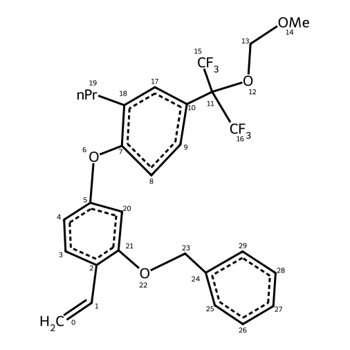 C=Cc1ccc(Oc2ccc(C(OCOC)(C(F)(F)F)C(F)(F)F)cc2CCC)cc1OCc1ccccc1